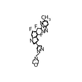 Cc1ccc2nnc(C(F)c3c(F)cc4ncc(-c5cnn(CCN6CCOCC6)c5)cc4c3F)n2n1